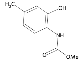 COC(=O)Nc1ccc(C)cc1O